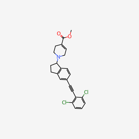 COC(=O)C1=CCN(C2CCc3cc(C#Cc4c(Cl)cccc4Cl)ccc32)CC1